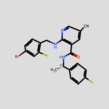 C[C@H](NC(=O)c1cc(C#N)cnc1NCc1ccc(Br)cc1F)c1ccc(F)cc1